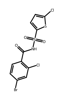 O=C(NS(=O)(=O)c1ccc(Cl)s1)c1ccc(Br)cc1Cl